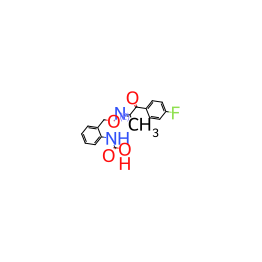 C/C(=N\OCc1ccccc1NC(=O)O)C(=O)c1ccc(F)cc1